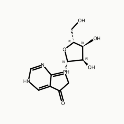 O=C1C[PH]([C@@H]2O[C@H](CO)[C@@H](O)[C@H]2O)=C2N=CNC=C12